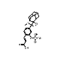 COC1(c2ccc(/C=C/C(=O)O)c(OP(=O)(O)O)c2)OOC12C1CC3CC(C1)CC2C3